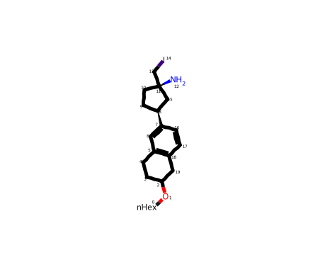 CCCCCCOC1CCc2cc([C@H]3CC[C@](N)(CI)C3)ccc2C1